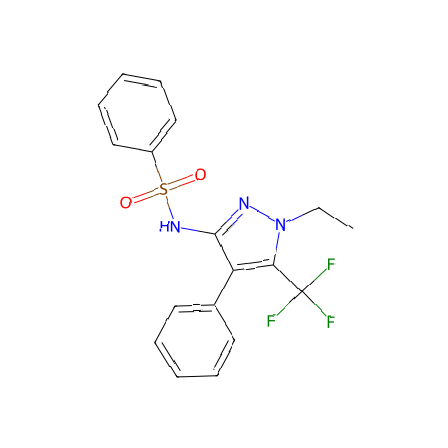 CCn1nc(NS(=O)(=O)c2ccccc2)c(-c2ccccc2)c1C(F)(F)F